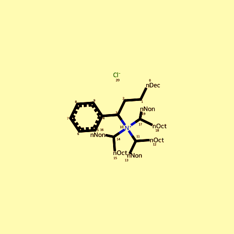 CCCCCCCCCCCCC(c1ccccc1)[N+](C(CCCCCCCC)CCCCCCCCC)(C(CCCCCCCC)CCCCCCCCC)C(CCCCCCCC)CCCCCCCCC.[Cl-]